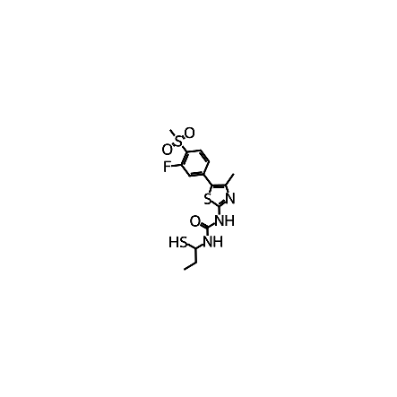 CCC(S)NC(=O)Nc1nc(C)c(-c2ccc(S(C)(=O)=O)c(F)c2)s1